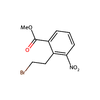 COC(=O)c1cccc([N+](=O)[O-])c1CCBr